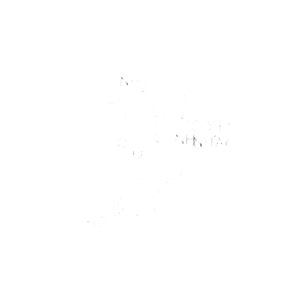 CCOC(=O)C1(N)CCCC1(C(=O)C(C)N)C(=O)C(Cc1ccc(O)cc1)NC(C)=O